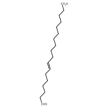 O=CCCCCCC=CCCCCCCCCCC(=O)O